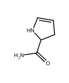 NC(=O)C1CC=[C]N1